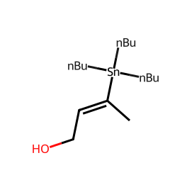 CCC[CH2][Sn]([CH2]CCC)([CH2]CCC)/[C](C)=C/CO